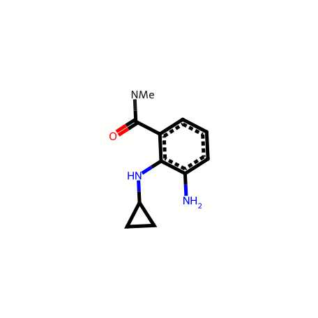 CNC(=O)c1cccc(N)c1NC1CC1